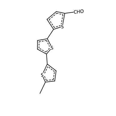 Cc1ccc(-c2ccc(-c3ccc(C=O)s3)s2)s1